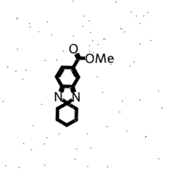 COC(=O)c1ccc2c(c1)=NC1(CCCCC1)N=2